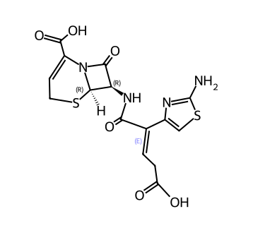 Nc1nc(/C(=C\CC(=O)O)C(=O)N[C@@H]2C(=O)N3C(C(=O)O)=CCS[C@H]23)cs1